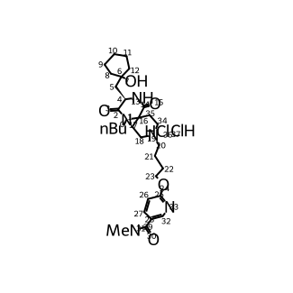 CCCCN1C(=O)[C@@H](CC2(O)CCCCC2)NC(=O)C12CCN(CCCCOc1ccc(C(=O)NC)cn1)CC2.Cl.Cl